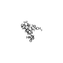 CC1CN(c2nc(-c3noc(=O)[nH]3)nc3nc4n(c23)C[C@@H]2CCCC3=C2N4CCO3)CCO1